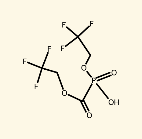 O=C(OCC(F)(F)F)P(=O)(O)OCC(F)(F)F